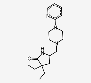 CCC1(CC)CC(CN2CCN(c3ccccn3)CC2)NC1=O